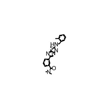 Cc1ccccc1CNc1nn2cc(-c3cccc(C(=O)N(C)C)c3)nc2s1